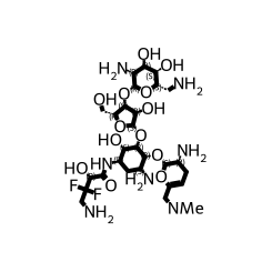 CNCC1=CC[C@@H](N)[C@@H](O[C@H]2[C@H](O[C@@H]3O[C@H](CO)[C@@H](O[C@H]4O[C@@H](CN)[C@@H](O)[C@H](O)[C@H]4N)[C@H]3O)[C@@H](O)[C@H](NC(=O)[C@@H](O)C(F)(F)CN)C[C@@H]2N)O1